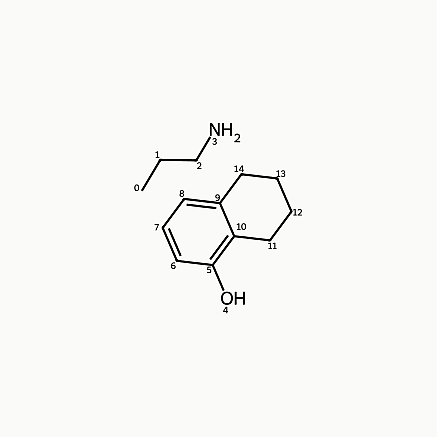 CCCN.Oc1cccc2c1CCCC2